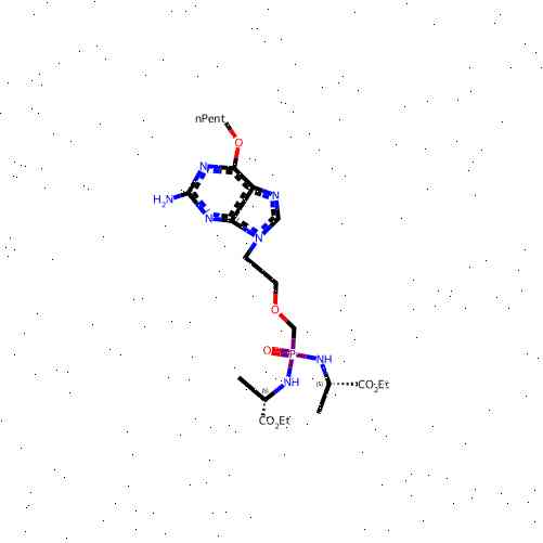 CCCCCOc1nc(N)nc2c1ncn2CCOCP(=O)(N[C@@H](C)C(=O)OCC)N[C@@H](C)C(=O)OCC